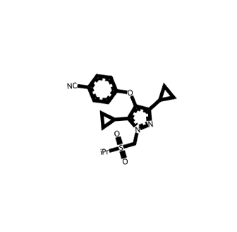 CC(C)S(=O)(=O)Cn1nc(C2CC2)c(Oc2ccc(C#N)cc2)c1C1CC1